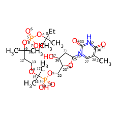 CCC(C)(C)OP(=O)(O)OC(C)(C)CCOC(C)(C)P(=O)(O)OCC1OC(n2cc(C)c(=O)[nH]c2=O)CC1O